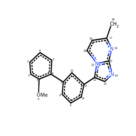 COc1ccccc1-c1cccc(-c2cnc3nc(C)ccn23)c1